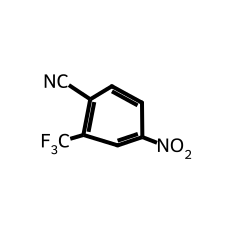 N#Cc1ccc([N+](=O)[O-])cc1C(F)(F)F